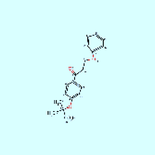 CC(C)(Oc1ccc(C(=O)CCOc2ccccc2)cc1)C(=O)O